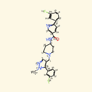 Cn1ncc(CN2CCC(NC(=O)c3ccc(-c4cccc(F)c4)nc3)CC2)c1-c1cccc(F)c1